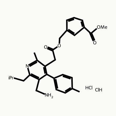 COC(=O)c1cccc(COC(=O)Cc2c(C)nc(CC(C)C)c(CN)c2-c2ccc(C)cc2)c1.Cl.Cl